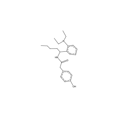 CCCCC(NC(=O)Cc1ccc(O)cc1)c1ccccc1N(CC)CC